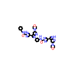 O=C(NCc1ccccc1)c1ncc(-c2cn(-c3cccc(NC(=O)c4ncc(-c5c[nH]c6ncc(N7CCOCC7)cc56)cn4)c3)c3ncc(N4CCOCC4)cc23)cn1